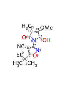 CCC(C)(C)c1onc(N2C(=O)C(C)=C(OC)C2O)c1C#N